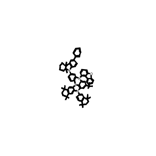 CC(C)(C)c1cc2c3c(c1)N(c1cccc4oc5ccccc5c14)c1cc(N4c5ccc(-c6ccccc6)cc5C5(C)CCCCC45C)ccc1B3c1cc3c(cc1N2c1ccc2c(c1)C(C)(C)CCC2(C)C)C(C)(C)CCC3(C)C